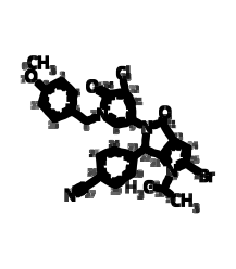 COc1ccc(Cn2cc(N3C(=O)c4cc(Br)n(C(C)C)c4C3c3ccc(C#N)cc3)cc(Cl)c2=O)cc1